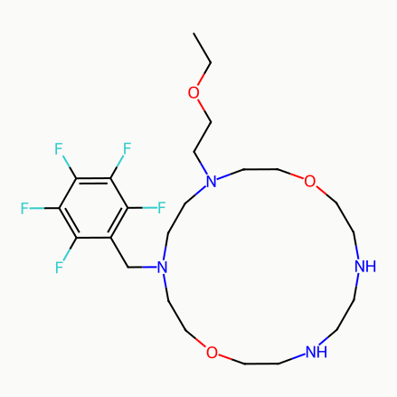 CCOCCN1CCOCCNCCNCCOCCN(Cc2c(F)c(F)c(F)c(F)c2F)CC1